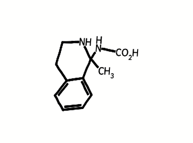 CC1(NC(=O)O)NCCc2ccccc21